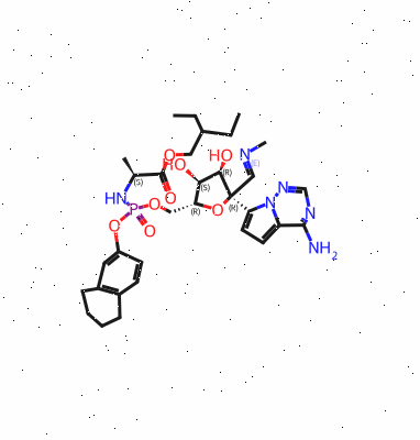 CCC(CC)COC(=O)[C@H](C)NP(=O)(OC[C@H]1O[C@@](/C=N/C)(c2ccc3c(N)ncnn23)[C@H](O)[C@@H]1O)Oc1ccc2c(c1)CCCC2